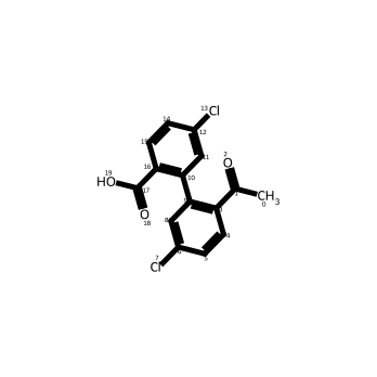 CC(=O)c1ccc(Cl)cc1-c1cc(Cl)ccc1C(=O)O